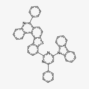 c1ccc(-c2cc(-n3c4ccccc4c4ccccc43)nc(-c3cccc4c3sc3ccc5c(-c6ccccc6)nc6ccccc6c5c34)n2)cc1